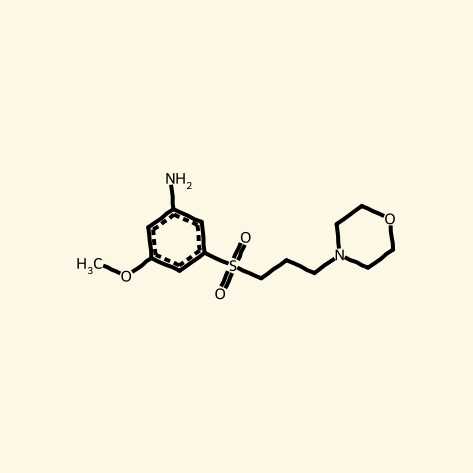 COc1cc(N)cc(S(=O)(=O)CCCN2CCOCC2)c1